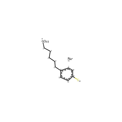 CCCCCCCCCCCCCc1ccc([S-])cc1.[Na+]